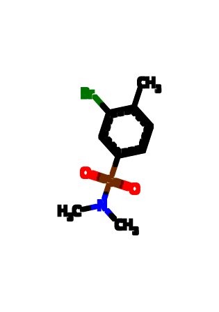 Cc1ccc(S(=O)(=O)N(C)C)cc1Br